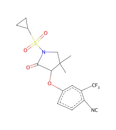 [C-]#[N+]c1ccc(OC2C(=O)N(S(=O)(=O)C3CC3)CC2(C)C)cc1C(F)(F)F